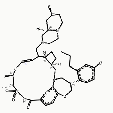 CCCc1cc(Cl)ccc1[C@@H]1COc2ccc3cc2N(C1)C[C@@H]1CC[C@H]1C(CN1CCN2CC[C@H](F)C[C@@H]2C1)/C=C/C[C@H](C)[C@@H](C)S(=O)(=O)NC3=O